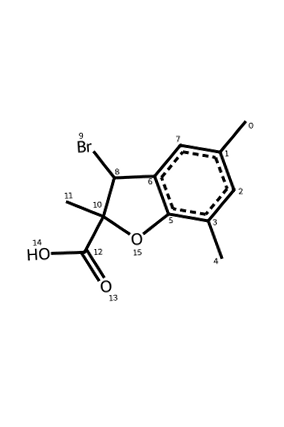 Cc1cc(C)c2c(c1)C(Br)C(C)(C(=O)O)O2